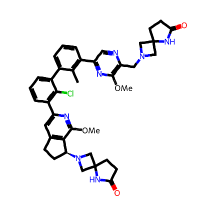 COc1nc(-c2cccc(-c3cccc(-c4cc5c(c(OC)n4)[C@@H](N4CC6(CCC(=O)N6)C4)CC5)c3Cl)c2C)cnc1CN1CC2(CCC(=O)N2)C1